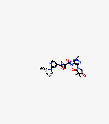 Cn1cc(NC(=O)c2coc(-c3ccnc(N(CC(F)(F)F)C(=O)O)c3)n2)c(N2CC(=O)C(C)(C)C2=O)n1